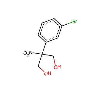 O=[N+]([O-])C(CO)(CO)c1cccc(Br)c1